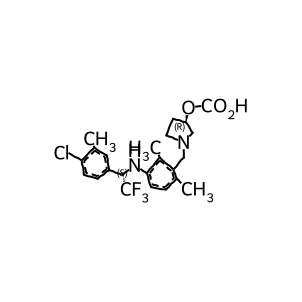 Cc1cc([C@H](Nc2ccc(C)c(CN3CC[C@@H](OC(=O)O)C3)c2C)C(F)(F)F)ccc1Cl